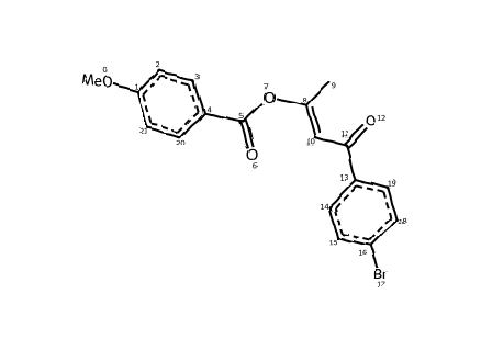 COc1ccc(C(=O)OC(C)=CC(=O)c2ccc(Br)cc2)cc1